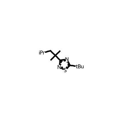 CC(C)CC(C)(C)c1nsc(C(C)(C)C)n1